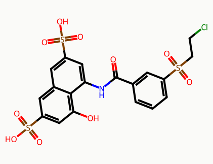 O=C(Nc1cc(S(=O)(=O)O)cc2cc(S(=O)(=O)O)cc(O)c12)c1cccc(S(=O)(=O)CCCl)c1